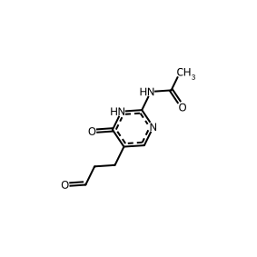 CC(=O)Nc1ncc(CCC=O)c(=O)[nH]1